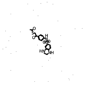 CC(=O)SCC(=O)c1ccc(NS(=O)(=O)c2ccc3c(c2)NCCN3)cc1